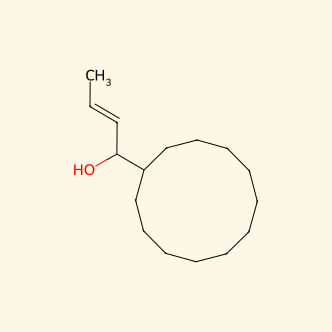 CC=CC(O)C1CCCCCCCCCCC1